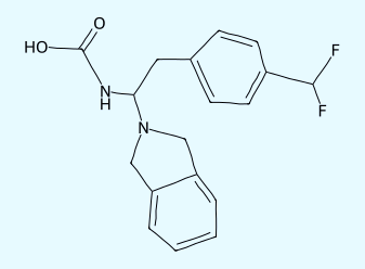 O=C(O)NC(Cc1ccc(C(F)F)cc1)N1Cc2ccccc2C1